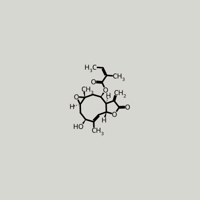 C=C1C(=O)O[C@@H]2/C=C(\C)[C@@H](O)C[C@H]3O[C@]3(C)C[C@@H](OC(=O)/C(C)=C\C)[C@@H]12